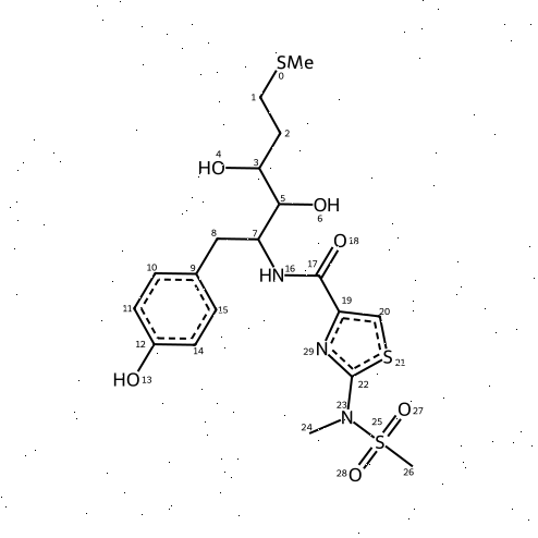 CSCCC(O)C(O)C(Cc1ccc(O)cc1)NC(=O)c1csc(N(C)S(C)(=O)=O)n1